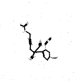 C=C=C[C@@H]1C[C@@H](C)CC=C1C(C#N)(C#N)CC#CCOC(C)=O